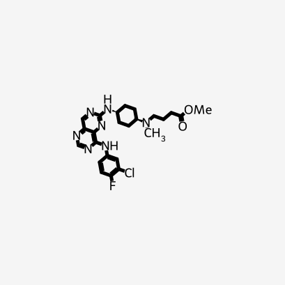 COC(=O)CCCN(C)[C@H]1CC[C@H](Nc2ncc3ncnc(Nc4ccc(F)c(Cl)c4)c3n2)CC1